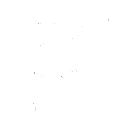 Clc1ccc(-c2[nH]nc(NC3CCNC3)c2-c2ccncc2)cc1